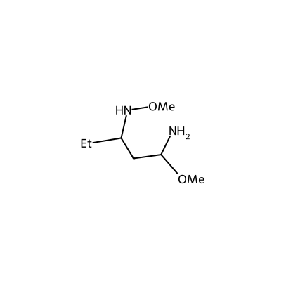 [CH2]CC(CC(N)OC)NOC